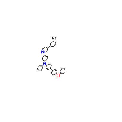 CCc1cccc(-c2ccnc(-c3ccc(-n4c5ccccc5c5cc(-c6ccc7oc8ccccc8c7c6)ccc54)cc3)c2)c1